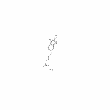 CN(CCI)CCCCc1ccc2c(c1)sc(=O)n2C